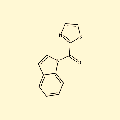 O=C(c1nccs1)n1ccc2ccccc21